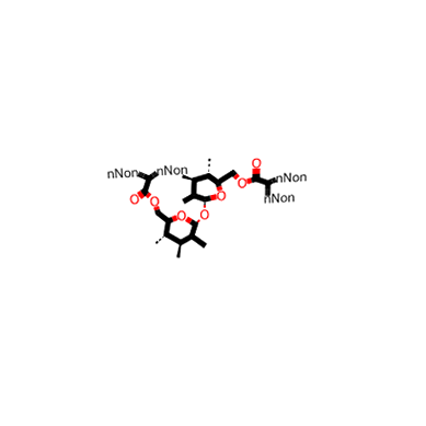 CCCCCCCCCC(CCCCCCCCC)C(=O)OCC1O[C@H](O[C@H]2OC(COC(=O)C(CCCCCCCCC)CCCCCCCCC)[C@@H](C)[C@H](C)C2C)C(C)[C@@H](C)[C@@H]1C